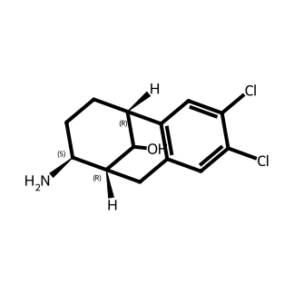 N[C@H]1CC[C@@H]2c3cc(Cl)c(Cl)cc3C[C@H]1C2O